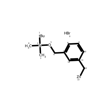 Br.CC(C)(C)[Si](C)(C)OCc1cccc([CH2][Zn])c1